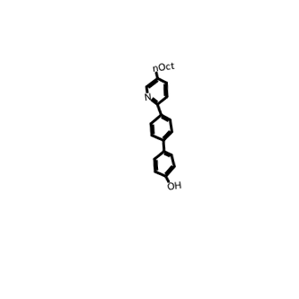 CCCCCCCCc1ccc(-c2ccc(-c3ccc(O)cc3)cc2)nc1